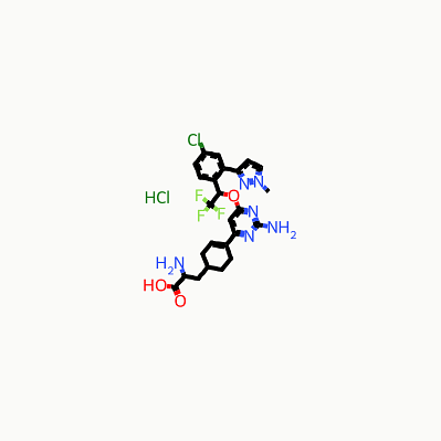 Cl.Cn1ccc(-c2cc(Cl)ccc2C(Oc2cc(C3=CCC(CC(N)C(=O)O)CC3)nc(N)n2)C(F)(F)F)n1